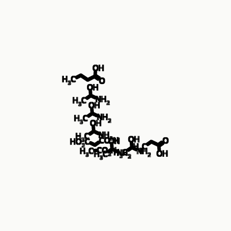 CC(=O)O.CC(N)O.CC(N)O.CC(N)O.CC(N)O.CC(N)O.CCC(=O)O.CCCC(=O)O.O=C(O)CC(=O)O